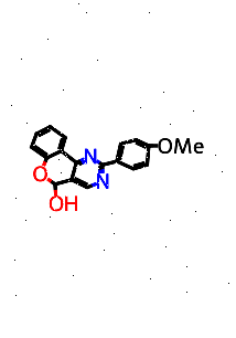 COc1ccc(-c2ncc3c(n2)-c2ccccc2OC3O)cc1